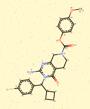 Nc1nc2c(c(=O)n1C(c1ccc(F)cc1)C1CCC1)CCN(C(=O)Oc1ccc(OC(F)(F)F)cc1)C2